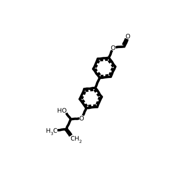 C=C(C)C(O)Oc1ccc(-c2ccc(OC=O)cc2)cc1